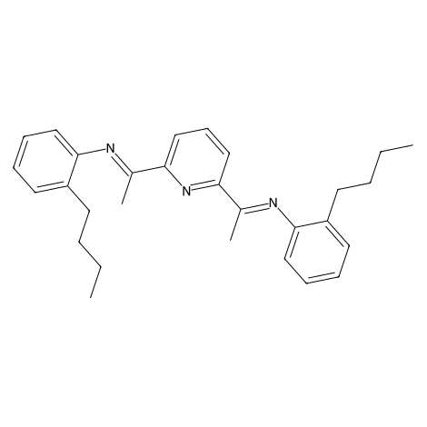 CCCCc1ccccc1/N=C(\C)c1cccc(/C(C)=N/c2ccccc2CCCC)n1